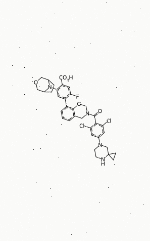 O=C(O)c1cc(F)c(-c2cccc3c2OCN(C(=O)c2c(Cl)cc(N4CCNC5(CC5)C4)cc2Cl)C3)cc1N1C2CCC1COC2